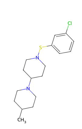 CC1CCN(C2CCN(Sc3cccc(Cl)c3)CC2)CC1